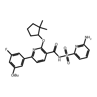 CC(C)COc1cc(F)cc(-c2ccc(C(=O)NS(=O)(=O)c3cccc(N)n3)c(OC3CCCC3(C)C)n2)c1